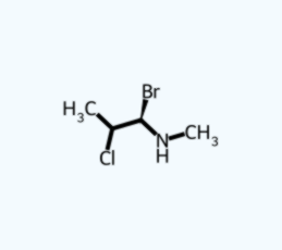 CN[C@H](Br)C(C)Cl